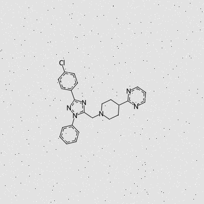 Clc1ccc(-c2nc(CN3CCC(c4ncccn4)CC3)n(-c3ccccc3)n2)cc1